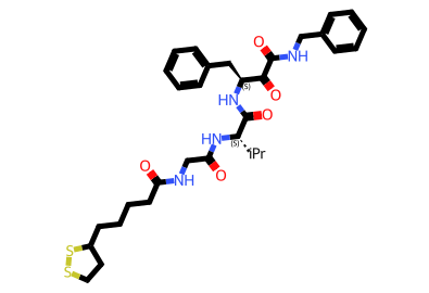 CC(C)[C@H](NC(=O)CNC(=O)CCCCC1CCSS1)C(=O)N[C@@H](Cc1ccccc1)C(=O)C(=O)NCc1ccccc1